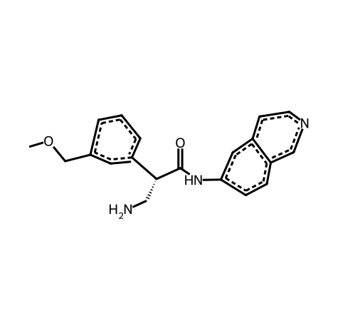 COCc1cccc([C@@H](CN)C(=O)Nc2ccc3cnccc3c2)c1